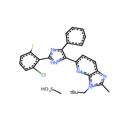 CS(=O)(=O)O.Cc1nc2ccc(-c3[nH]c(-c4c(F)cccc4Cl)nc3-c3ccccc3)nc2n1CC(C)(C)C